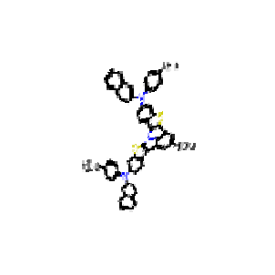 CC(C)(C)c1ccc(N(c2ccc3ccccc3c2)c2ccc3c(c2)sc2c3c3cc(C(C)(C)C)cc4c5sc6cc(N(c7ccc(C(C)(C)C)cc7)c7ccc8ccccc8c7)ccc6c5n2c43)cc1